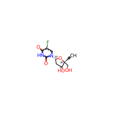 C#C[C@]1(CO)O[C@@H](n2cc(F)c(=O)[nH]c2=O)C[C@@H]1O